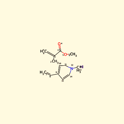 C=C(C)C(=O)OC.C=CC1=CCN(C)C=C1.I